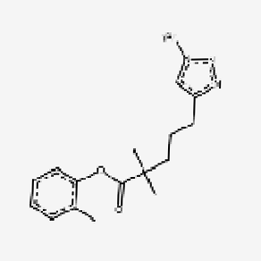 CCCn1cc(CCCC(C)(C)C(=O)Oc2ccccc2C)nn1